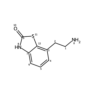 NCCc1cccc2[nH]c(=O)sc12